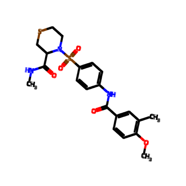 CNC(=O)C1CSCCN1S(=O)(=O)c1ccc(NC(=O)c2ccc(OC)c(C)c2)cc1